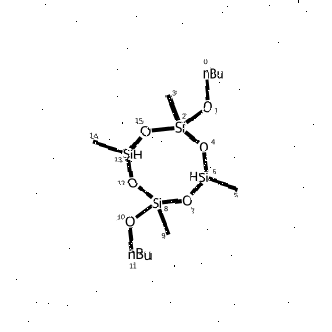 CCCCO[Si]1(C)O[SiH](C)O[Si](C)(OCCCC)O[SiH](C)O1